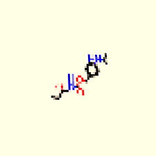 CCC(=O)CNC(=O)OCc1ccc(NC(C)C)cc1